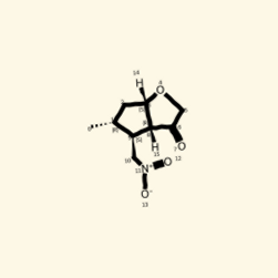 C[C@@H]1C[C@@H]2OCC(=O)[C@@H]2[C@H]1C[N+](=O)[O-]